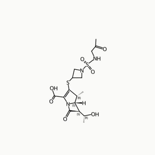 CC(=O)CNS(=O)(=O)N1CC(SC2=C(C(=O)O)N3C(=O)[C@H]([C@@H](C)O)[C@H]3[C@H]2C)C1